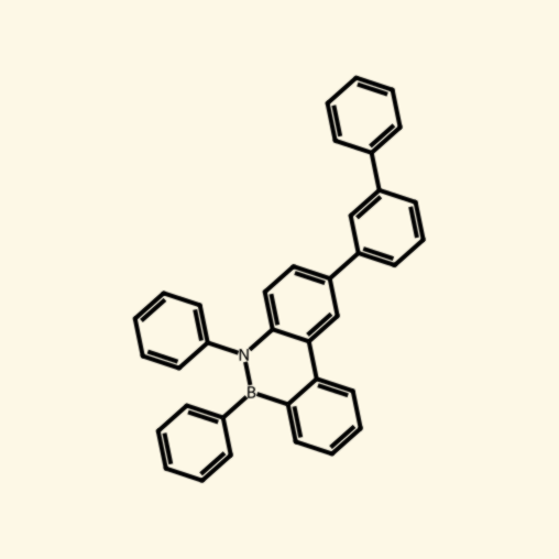 c1ccc(B2c3ccccc3-c3cc(-c4cccc(-c5ccccc5)c4)ccc3N2c2ccccc2)cc1